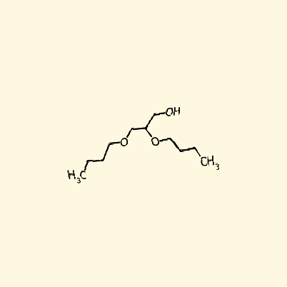 CCCCOCC(CO)OCCCC